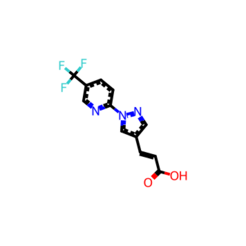 O=C(O)/C=C/c1cnn(-c2ccc(C(F)(F)F)cn2)c1